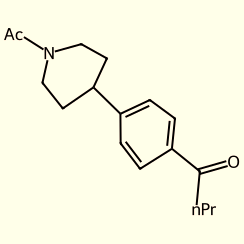 CCCC(=O)c1ccc(C2CCN(C(C)=O)CC2)cc1